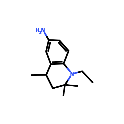 CCN1c2ccc(N)cc2C(C)CC1(C)C